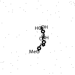 COc1ccc(Cn2ccc3ccc(C(=O)NOCc4ccc(B(O)O)cc4)cc32)cc1